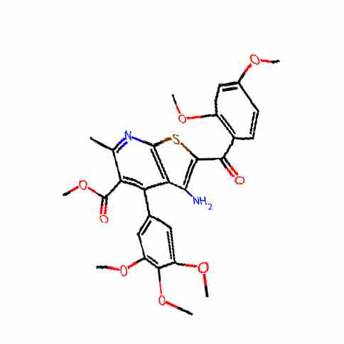 COC(=O)c1c(C)nc2sc(C(=O)c3ccc(OC)cc3OC)c(N)c2c1-c1cc(OC)c(OC)c(OC)c1